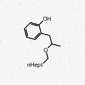 CCCCCCCCOC(C)Cc1ccccc1O